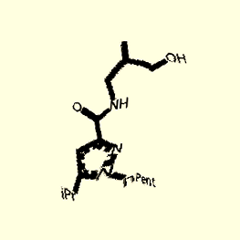 CCCCCn1nc(C(=O)NCC(C)CO)cc1C(C)C